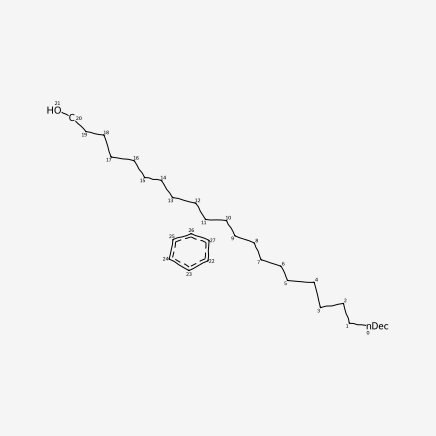 CCCCCCCCCCCCCCCCCCCCCCCCCCCCCCO.c1ccccc1